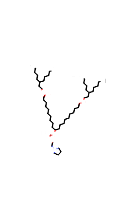 CCCCCC(CCCCC)CCOC(=O)CCCCCCCCCC(CCCCCCCCCC(=O)OCCC(CCCCC)CCCCC)OC(C)OCCN1CCCC1